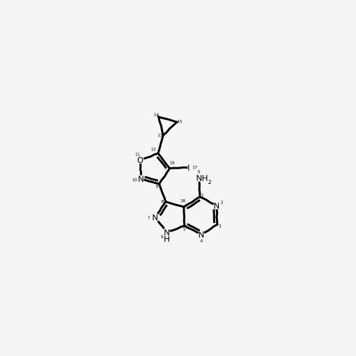 Nc1ncnc2[nH]nc(-c3noc(C4CC4)c3I)c12